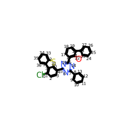 Clc1ccc(-c2nc(-c3ccccc3)nc(-c3cccc4c3oc3ccccc34)n2)c2sc3ccccc3c12